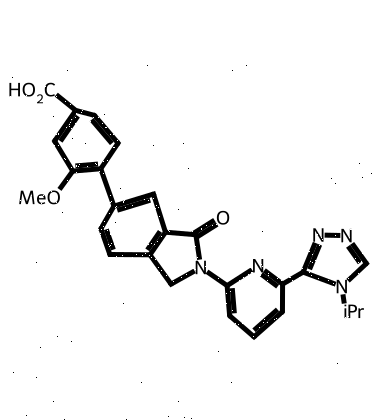 COc1cc(C(=O)O)ccc1-c1ccc2c(c1)C(=O)N(c1cccc(-c3nncn3C(C)C)n1)C2